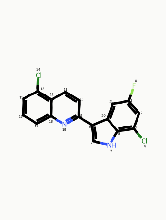 Fc1cc(Cl)c2[nH]cc(-c3ccc4c(Cl)cccc4n3)c2c1